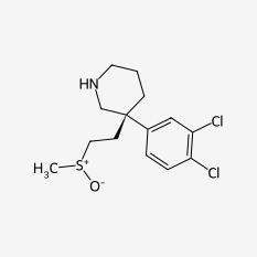 C[S+]([O-])CC[C@]1(c2ccc(Cl)c(Cl)c2)CCCNC1